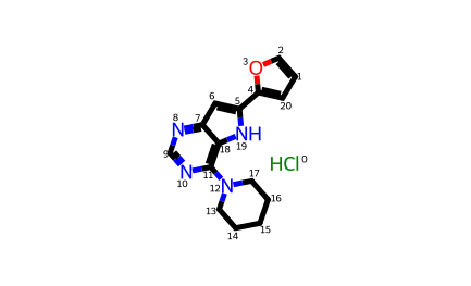 Cl.c1coc(-c2cc3ncnc(N4CCCCC4)c3[nH]2)c1